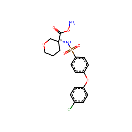 NOC(=O)[C@@]1(NS(=O)(=O)c2ccc(Oc3ccc(Cl)cc3)cc2)CCCOC1